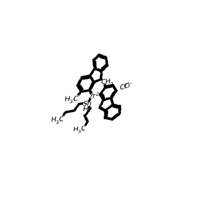 CCC[CH2][SnH]([CH2]CCC)[Zr+2]([c]1c(C)ccc2c1Cc1ccccc1-2)[c]1c(C)ccc2c1Cc1ccccc1-2.[Cl-].[Cl-]